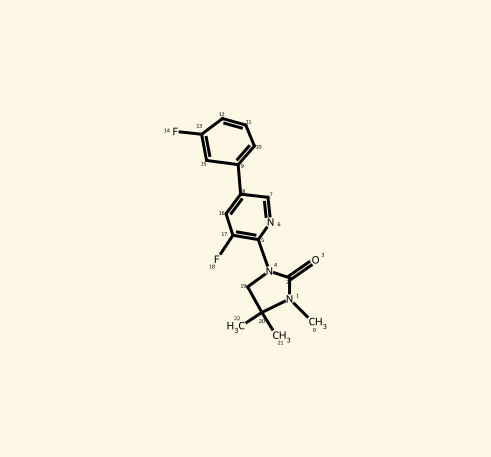 CN1C(=O)N(c2ncc(-c3cccc(F)c3)cc2F)CC1(C)C